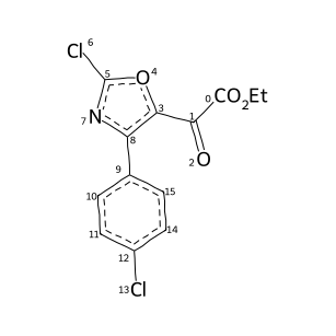 CCOC(=O)C(=O)c1oc(Cl)nc1-c1ccc(Cl)cc1